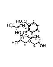 C=CC.C=CC.O=C(O)c1ccccc1C(=O)O.OCCOCCO